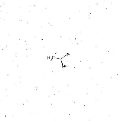 CCC[C@@H](C)C(C)C